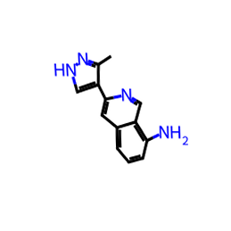 Cc1n[nH]cc1-c1cc2cccc(N)c2cn1